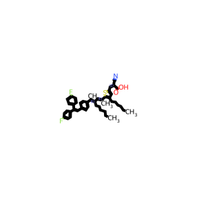 CCCCCCC(/C=C(\C)c1sc(/C=C(/C#N)C(=O)O)cc1CCCCCC)=C(/C)c1ccc(C=C(c2ccc(F)cc2)c2ccc(F)cc2)cc1